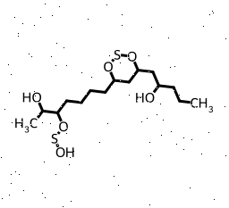 CCCC(O)CC1CC(CCCCC(OSO)C(C)O)OSO1